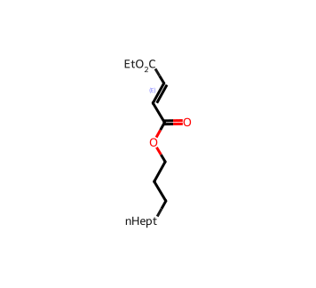 CCCCCCCCCCOC(=O)/C=C/C(=O)OCC